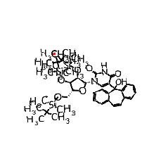 CC(C)(C)[Si](C)(C)OC[C@H]1O[C@@H](n2cc(C3(O)c4ccccc4C=Cc4ccccc43)c(=O)[nH]c2=O)[C@H](O[Si](C)(C)C(C)(C)C)[C@@H]1O[Si](C)(C)C(C)(C)C